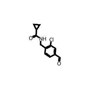 O=Cc1ccc(CNC(=O)C2CC2)c(Cl)c1